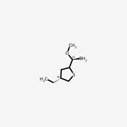 B[C@H](OC)C1C[C@@H](CC)CS1